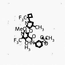 COc1nc(C2(C(F)(F)F)CCC2)cc(C)c1Oc1nnc(C(F)(F)F)c(C)c1C(=O)Nc1cccc(S(C)(=O)=O)c1